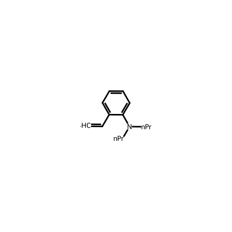 [CH]=Cc1ccccc1N(CCC)CCC